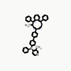 C=C1/C=C(c2ccc(-c3ccc(N(c4ccccc4)c4ccncc4C)cc3)cc2)\C=C/C/C(c2ccccc2)=c2/cccc/c2=C/1c1ccccc1